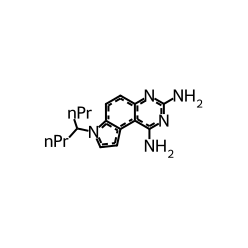 CCCC(CCC)n1ccc2c3c(N)nc(N)nc3ccc21